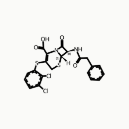 O=C(Cc1ccccc1)N[C@@H]1C(=O)N2C(C(=O)O)=C(Sc3cccc(Cl)c3Cl)CS[C@@H]12